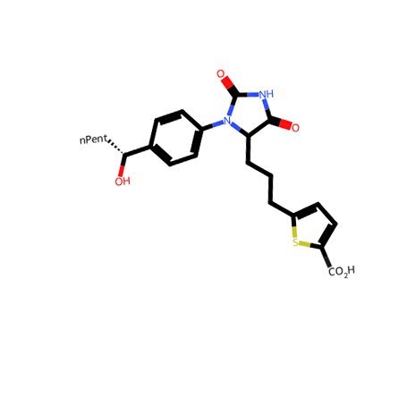 CCCCC[C@@H](O)c1ccc(N2C(=O)NC(=O)C2CCCc2ccc(C(=O)O)s2)cc1